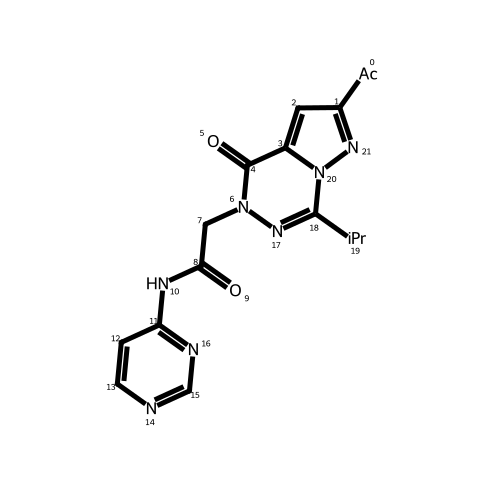 CC(=O)c1cc2c(=O)n(CC(=O)Nc3ccncn3)nc(C(C)C)n2n1